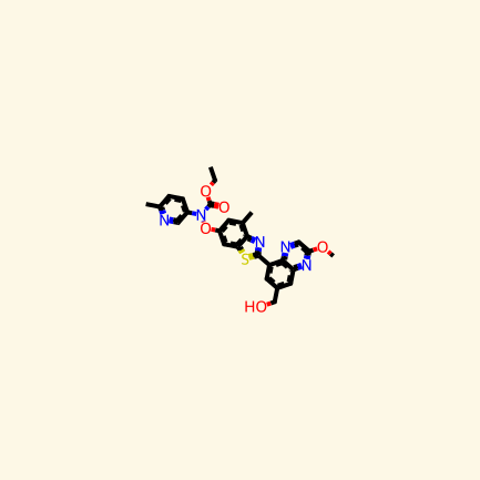 CCOC(=O)N(Oc1cc(C)c2nc(-c3cc(CO)cc4nc(OC)cnc34)sc2c1)c1ccc(C)nc1